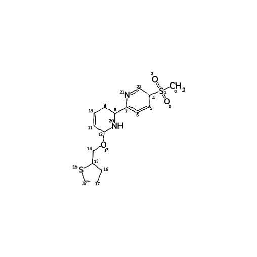 CS(=O)(=O)C1C=C=C(C2CC=CC(OCC3CCCS3)N2)N=C1